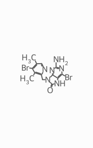 Cc1cnc(Cn2c(=O)[nH]c3c(Br)nc(N)nc32)c(C)c1Br